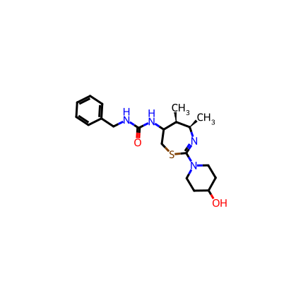 C[C@@H]1C(NC(=O)NCc2ccccc2)CSC(N2CCC(O)CC2)=N[C@@H]1C